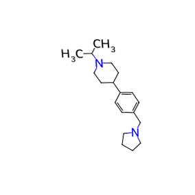 CC(C)N1CCC(c2ccc(CN3CCCC3)cc2)CC1